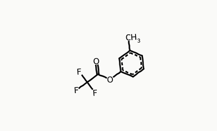 Cc1cccc(OC(=O)C(F)(F)F)c1